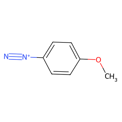 COc1ccc([N+]#N)cc1